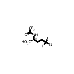 CCC(F)(F)CC[C@H](NC(=O)C(F)(F)F)C(=O)O